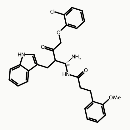 COc1ccccc1CCC(=O)N[C@@H](N)C(Cc1c[nH]c2ccccc12)C(=O)COc1ccccc1Cl